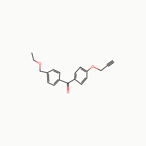 C#CCOc1ccc(C(=O)c2ccc(COCC)cc2)cc1